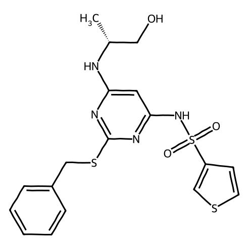 C[C@H](CO)Nc1cc(NS(=O)(=O)c2ccsc2)nc(SCc2ccccc2)n1